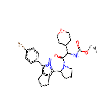 COC(=O)NC(C(=O)N1CCCC1c1[nH]c(-c2ccc(Br)cc2)c2c1CCC2)C1CCOCC1